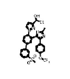 CCC(O)c1ccn(-c2ccc(-c3cccc(S(C)(=O)=O)c3)cc2-c2oc(C)nc2-c2ccc(OC(F)(F)F)cc2)n1